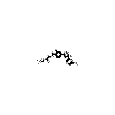 Cc1cc(C2=NO[C@@](c3cncc(C(F)(F)F)n3)(C(F)(F)F)C2)ccc1C(=O)NCC(=O)NCC(F)(F)F